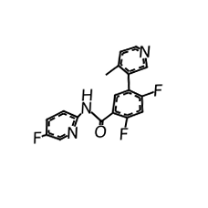 Cc1ccncc1-c1cc(C(=O)Nc2ccc(F)cn2)c(F)cc1F